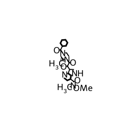 CON(C)C(=O)c1ccnc2c1NCC2C(=O)C(=O)N1CCN(C(=O)c2ccccc2)C[C@H]1C